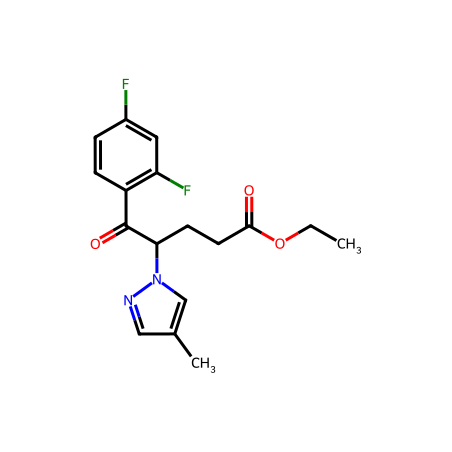 CCOC(=O)CCC(C(=O)c1ccc(F)cc1F)n1cc(C)cn1